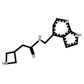 O=C(CC1CNC1)NCc1ccnc2[nH]ccc12